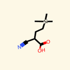 C[Si](C)(C)CCC(C#N)C(=O)O